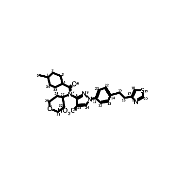 CC1CCC(C(=O)N(c2nn(-c3ccc(CCc4cscn4)cc3)cc2C(=O)O)C2CCOCC2)CC1